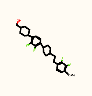 COc1ccc(CCC2CCC(c3ccc(C4CCC(CO)CC4)c(F)c3F)CC2)c(F)c1F